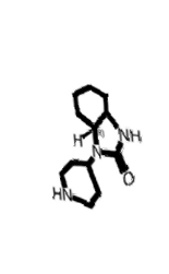 O=C1NC2CCCC[C@H]2N1C1CCNCC1